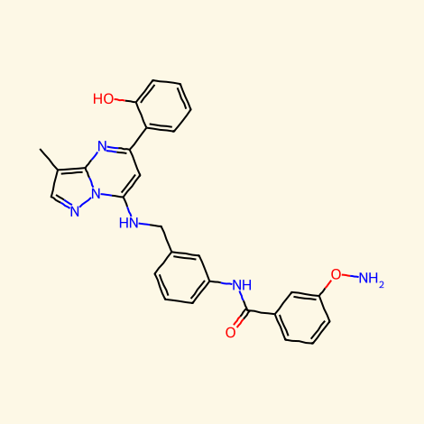 Cc1cnn2c(NCc3cccc(NC(=O)c4cccc(ON)c4)c3)cc(-c3ccccc3O)nc12